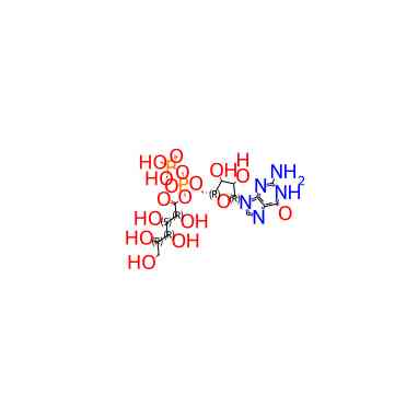 Nc1nc2c(ncn2[C@@H]2O[C@H](COP(=O)(OC(=O)[C@H](O)[C@@H](O)[C@H](O)[C@H](O)CO)OP(=O)(O)O)C(O)C2O)c(=O)[nH]1